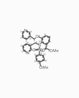 COC(=O)c1cccc(OCc2cccnc2)c1N(Cc1cccnc1)S(=O)(=O)c1ccc(OC)cc1